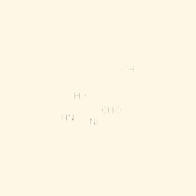 CC(C=O)(c1ccc(O)cc1)C1CNCCN1